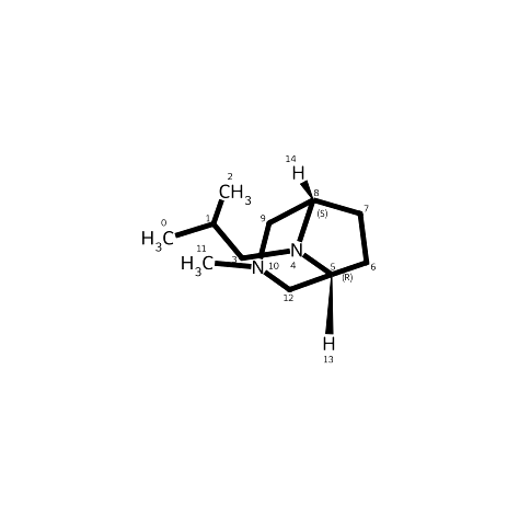 CC(C)CN1[C@@H]2CC[C@H]1CN(C)C2